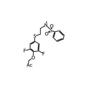 CC(=O)COc1c(F)cc(SCCN(C)S(=O)(=O)c2ccccc2)cc1F